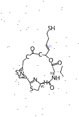 CC(C)[C@@H]1NC(=O)[C@@H]2CSC(=N2)c2csc(n2)CCC(=O)CC(/C=C/CCS)OC1=O